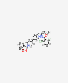 O=C(N[C@@H](Cc1ccc(C2=CCN(Cc3ccccc3O)CC2)cc1)C(=O)O)c1c(Cl)cccc1Cl